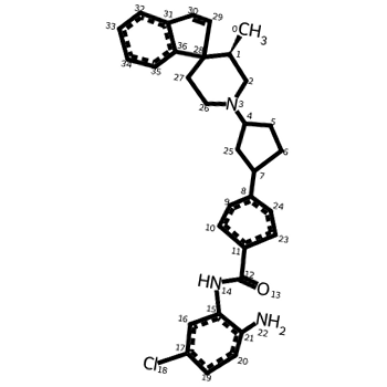 C[C@H]1CN(C2CCC(c3ccc(C(=O)Nc4cc(Cl)ccc4N)cc3)C2)CCC12C=Cc1ccccc12